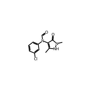 Cc1[nH]n(C)c(=O)c1N(C=O)c1cccc(Cl)c1